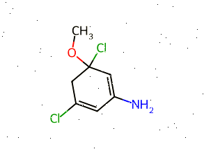 COC1(Cl)C=C(N)C=C(Cl)C1